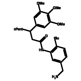 CCCCCC(CC(=O)Nc1cc(CN)ccc1C(C)(C)C)c1cc(OC)c(OC)c(OC)c1